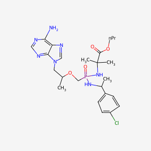 CCCOC(=O)C(C)(C)NP(=O)(COC(C)Cn1cnc2c(N)ncnc21)NC(C)c1ccc(Cl)cc1